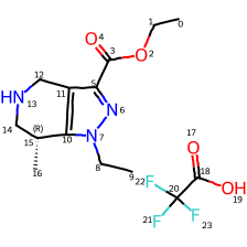 CCOC(=O)c1nn(CC)c2c1CNC[C@H]2C.O=C(O)C(F)(F)F